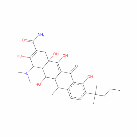 CCCC(C)(C)c1ccc2c(c1O)C(=O)C1=C(O)C3(O)CC(C(N)=O)=C(O)C(N(C)C)C3C(O)C1C2C